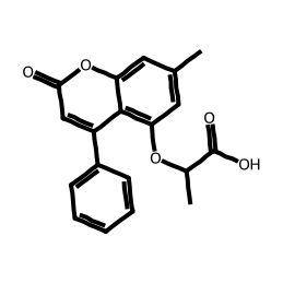 Cc1cc(OC(C)C(=O)O)c2c(-c3ccccc3)cc(=O)oc2c1